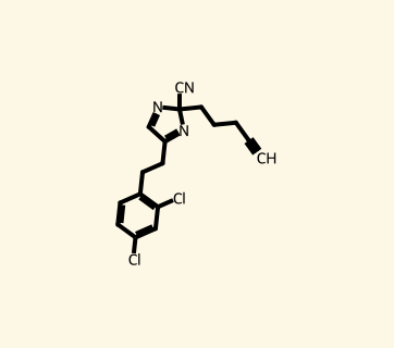 C#CCCCC1(C#N)N=CC(CCc2ccc(Cl)cc2Cl)=N1